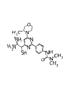 C[C@H]1COCCN1c1cc(C(S)C(=N)N)nc(-c2ccc(NC(=O)N(C)C)cc2)n1